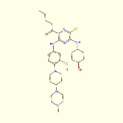 CCCCC(=O)c1nc(Cl)c(N[C@H]2CC[C@H](O)CC2)nc1Nc1ccc(N2CCC(N3CCN(C)CC3)CC2)c(OC)c1